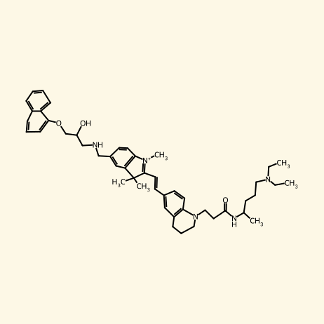 CCN(CC)CCCC(C)NC(=O)CCN1CCCc2cc(C=CC3=[N+](C)c4ccc(CNCC(O)COc5cccc6ccccc56)cc4C3(C)C)ccc21